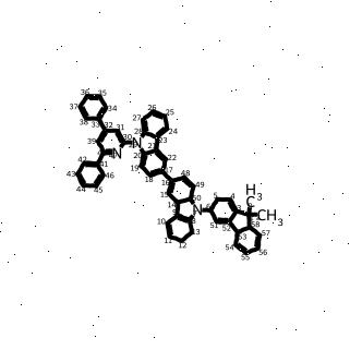 CC1(C)C2=CCC(N3C4=C(C=CCC4)C4C=C(c5ccc6c(c5)c5ccccc5n6-c5cc(-c6ccccc6)cc(-c6ccccc6)n5)C=CC43)C=C2C2C=CC=CC21